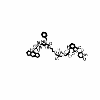 CCC(C)(CNc1cccc2c1C(=O)N(C1CCC(=O)NC1=O)C2=O)COCC(C)(CC)COCCNC(=O)c1cc(S(=O)(=O)NC(=O)NC2=C3CCCC3=CC3CCCC23)nn1Cc1ccccc1